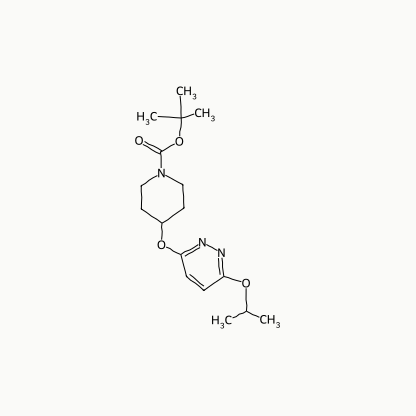 CC(C)Oc1ccc(OC2CCN(C(=O)OC(C)(C)C)CC2)nn1